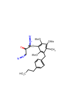 COc1c(C)c(Cc2ccc(CCC(=O)O)cc2)c(OC)c(OC)c1OC.[N-]=[N+]=CC(=O)C=[N+]=[N-]